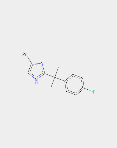 CC(C)c1c[nH]c(C(C)(C)c2ccc(F)cc2)n1